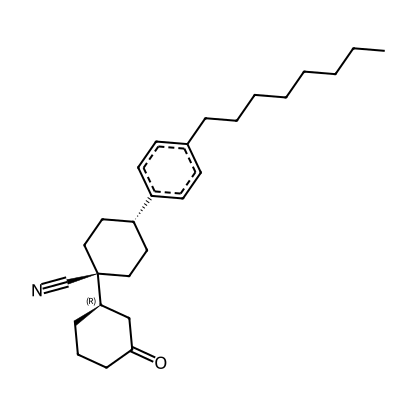 CCCCCCCCc1ccc([C@H]2CC[C@@](C#N)([C@@H]3CCCC(=O)C3)CC2)cc1